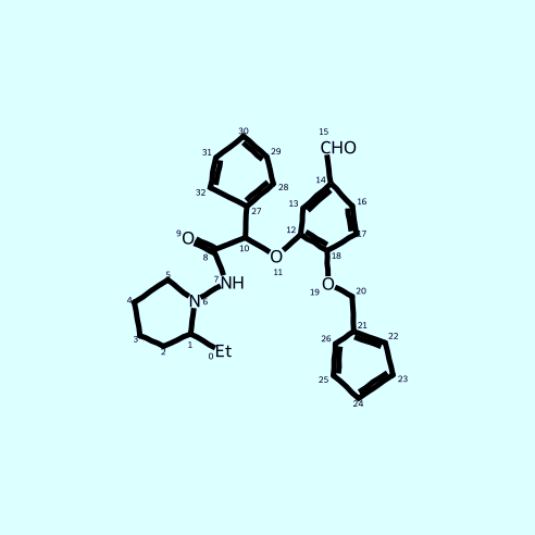 CCC1CCCCN1NC(=O)C(Oc1cc(C=O)ccc1OCc1ccccc1)c1ccccc1